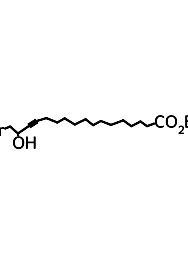 CCOC(=O)CCCCCCCCCCCCC#CC(O)CC(C)C